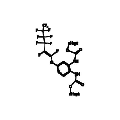 CCCCCCCOC(=O)Nc1ccc(OC(F)=C(F)C(F)(F)C(F)(F)C(F)(F)C(F)(F)F)cc1NC(=O)OCCCCCCC